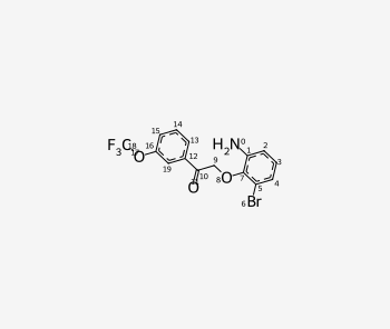 Nc1cccc(Br)c1OCC(=O)c1cccc(OC(F)(F)F)c1